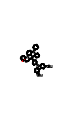 C=C/C=C\C1=C(c2ccc(-n3c4ccc(C(C)(C)C)cc4c4cc(C(C)(C)C)ccc43)cc2)B2c3ccccc3N(c3ccccc3)c3cccc(c32)N1c1ccccc1